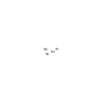 [Ni].[Pr].[Sb].[Sn]